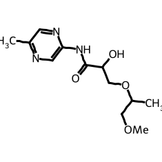 COCC(C)OCC(O)C(=O)Nc1cnc(C)cn1